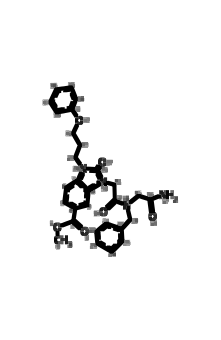 COC(=O)c1ccc2c(c1)n(CC(=O)N(CC(N)=O)Cc1ccccc1)c(=O)n2CCCOc1ccccc1